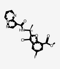 COC(=O)c1cc(F)cc2c(Cl)c([C@H](C)NC(=O)c3cnn4cccnc34)oc12